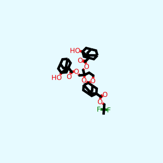 CC(F)(F)COC(=O)C12CC3CC(C1)C1(OCCC(COC(=O)C45CC6CC(CC(O)(C6)C4)C5)(COC(=O)C45CC6CC(CC(O)(C6)C4)C5)O1)C(C3)C2